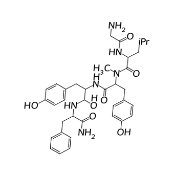 CC(C)CC(NC(=O)CN)C(=O)N(C)C(Cc1ccc(O)cc1)C(=O)NC(Cc1ccc(O)cc1)C(O)NC(Cc1ccccc1)C(N)=O